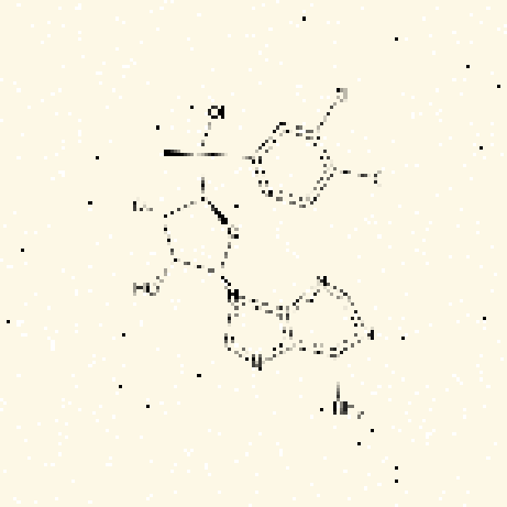 C[C@@](O)(c1ccc(Cl)c(Cl)c1)[C@H]1O[C@@H](n2cnc3c(N)ncnc32)[C@H](O)[C@@H]1O